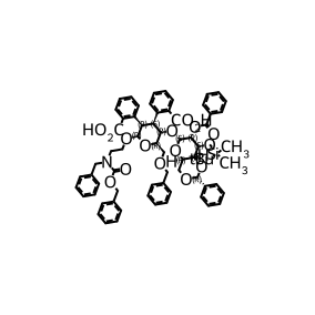 CC(C)(C)[Si](C)(C)O[C@@H]1[C@@H](OC(=O)c2ccccc2)[C@@H](O[C@@H]2[C@H](c3ccccc3C(=O)O)[C@H](c3ccccc3C(=O)O)[C@H](OCCN(Cc3ccccc3)C(=O)OCc3ccccc3)O[C@@H]2COCc2ccccc2)O[C@@H]2CO[C@@H](c3ccccc3)O[C@@H]12